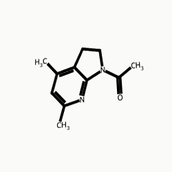 CC(=O)N1CCc2c(C)cc(C)nc21